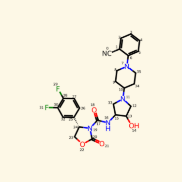 N#Cc1ccccc1N1CCC(N2CC(O)C(NC(=O)N3C(=O)OC[C@@H]3c3ccc(F)c(F)c3)C2)CC1